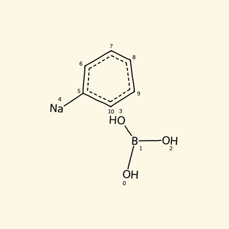 OB(O)O.[Na][c]1ccccc1